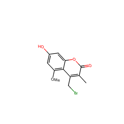 COc1cc(O)cc2oc(=O)c(C)c(CBr)c12